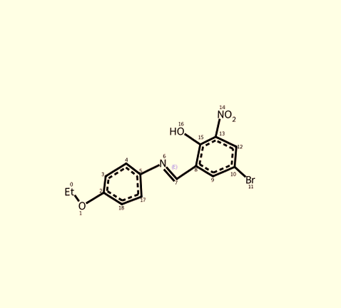 CCOc1ccc(/N=C/c2cc(Br)cc([N+](=O)[O-])c2O)cc1